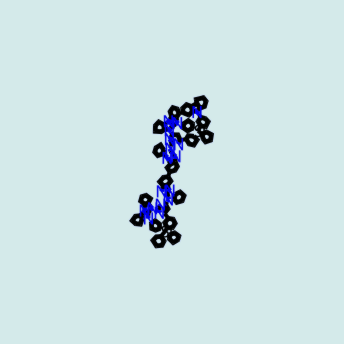 c1ccc([Si](c2ccccc2)(c2ccccc2)c2cccc(-c3cc(-n4c5ccccc5n5c6cc(-c7ccc8nc9n(-c%10nc(-c%11cccc([Si](c%12ccccc%12)(c%12ccccc%12)c%12cccc(-n%13c%14ccccc%14c%14ccccc%14%13)c%12)c%11)cc(-n%11c%12ccccc%12n%12c%13ccccc%13nc%11%12)n%10)c%10ccccc%10n9c8c7)ccc6nc45)nc(-n4c5ccccc5n5c6ccccc6nc45)n3)c2)cc1